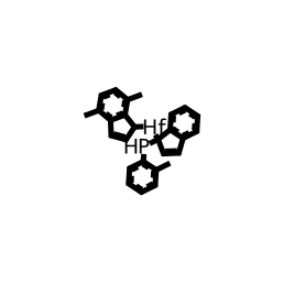 Cc1ccccc1P[C]1([Hf][CH]2C=Cc3c(C)ccc(C)c32)C=Cc2ccccc21